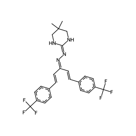 CC1(C)CNC(=NN=C(C=Cc2ccc(C(F)(F)F)cc2)C=Cc2ccc(C(F)(F)F)cc2)NC1